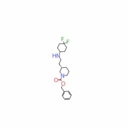 O=C(OCc1ccccc1)N1CCC[C@H](CCNC2CCC(F)(F)CC2)C1